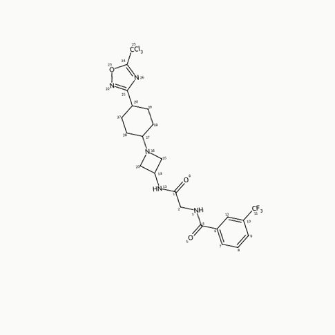 O=C(CNC(=O)c1cccc(C(F)(F)F)c1)NC1CN(C2CCC(c3noc(C(Cl)(Cl)Cl)n3)CC2)C1